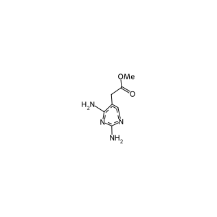 COC(=O)Cc1cnc(N)nc1N